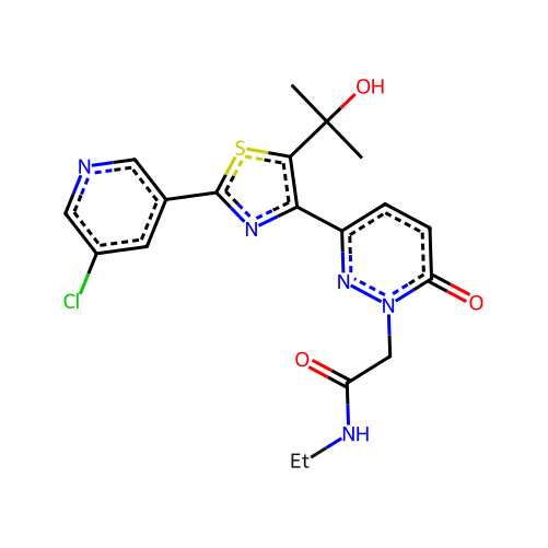 CCNC(=O)Cn1nc(-c2nc(-c3cncc(Cl)c3)sc2C(C)(C)O)ccc1=O